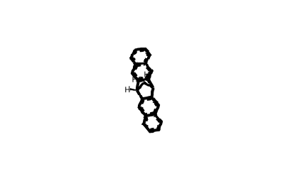 O[C@H]1C2c3cc4ccccc4cc3[C@H]1c1cc3ccccc3cc12